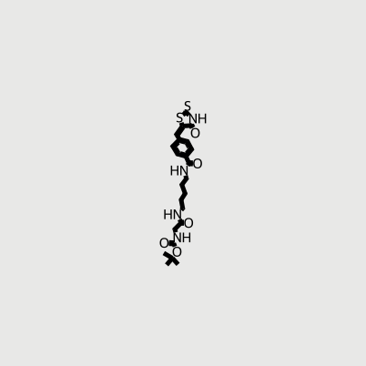 CC(C)(C)OC(=O)NCC(=O)NCCCCCNC(=O)c1ccc(C=C2SC(=S)NC2=O)cc1